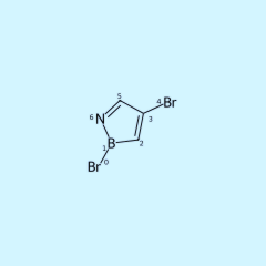 BrB1C=C(Br)C=N1